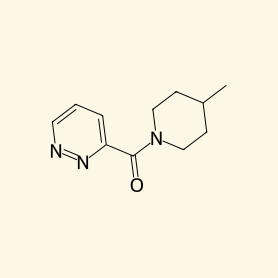 CC1CCN(C(=O)c2cccnn2)CC1